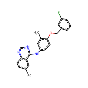 CC(=O)c1ccc2ncnc(Nc3ccc(OCc4cccc(F)c4)c(C)c3)c2c1